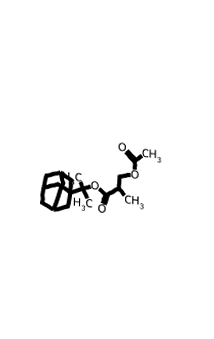 CC(=O)OCC(C)C(=O)OC(C)(C)C12CC3CC(CC(C3)C1)C2